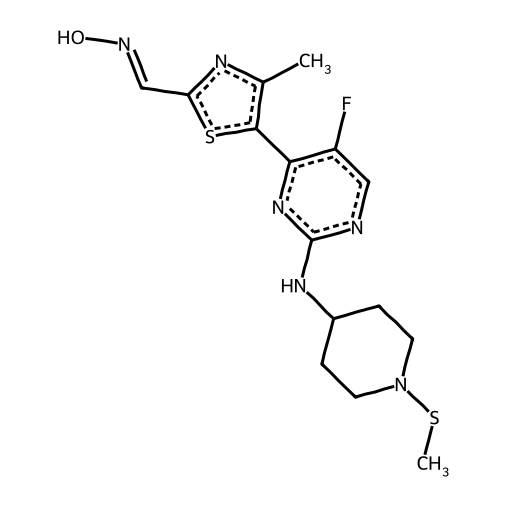 CSN1CCC(Nc2ncc(F)c(-c3sc(/C=N/O)nc3C)n2)CC1